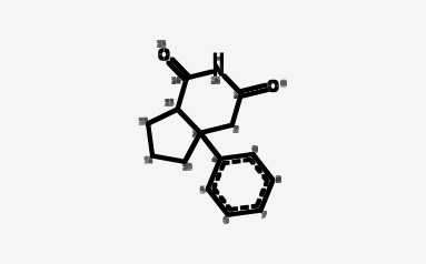 O=C1CC2(c3ccccc3)CCCC2C(=O)N1